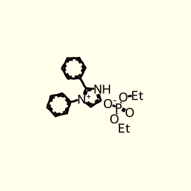 CCOP(=O)([O-])OCC.c1ccc(-c2[nH]cc[n+]2-c2ccccc2)cc1